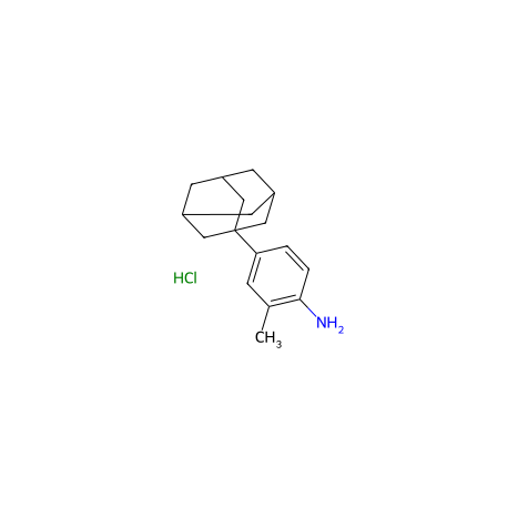 Cc1cc(C23CC4CC(CC(C4)C2)C3)ccc1N.Cl